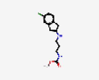 CC(C)(C)OC(=O)NCCCNC1Cc2ccc(Br)cc2C1